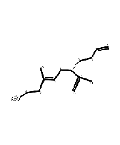 C=CCC[C@@H](C/C=C(\C)CCOC(C)=O)C(=C)C